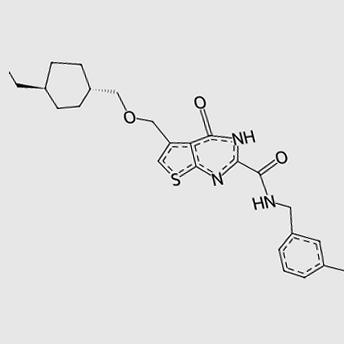 COc1cccc(CNC(=O)c2nc3scc(COC[C@H]4CC[C@H](CI)CC4)c3c(=O)[nH]2)c1